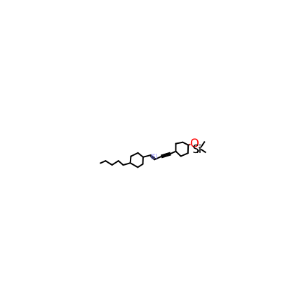 CCCCCC1CCC(/C=C/C#CC2CCC(O[Si](C)(C)C)CC2)CC1